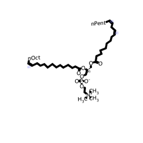 CCCCC/C=C\C/C=C\CCCCCCCC(=O)OC[C@H](COP(=O)([O-])OCC[N+](C)(C)C)OC(=O)CCCCCCCCCCC/C=C\CCCCCCCC